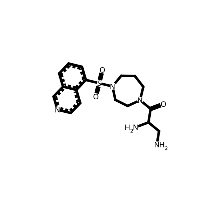 NCC(N)C(=O)N1CCCN(S(=O)(=O)c2cccc3cnccc23)CC1